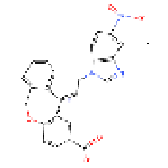 O=C(O)c1ccc2c(c1)/C(=C/Cn1cnc3cc([N+](=O)[O-])ccc31)c1ccccc1CO2